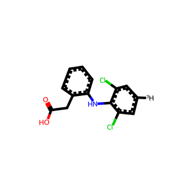 [3H]c1cc(Cl)c(Nc2ccccc2CC(=O)O)c(Cl)c1